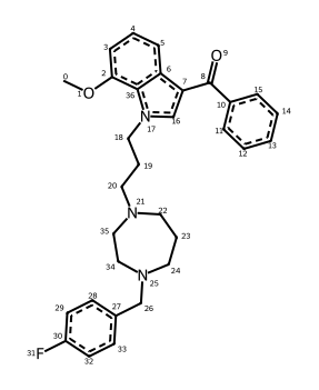 COc1cccc2c(C(=O)c3ccccc3)cn(CCCN3CCCN(Cc4ccc(F)cc4)CC3)c12